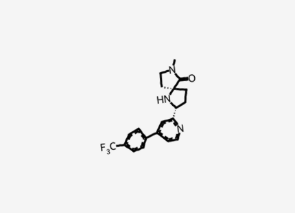 CN1CC[C@@]2(CC[C@H](c3cc(-c4ccc(C(F)(F)F)cc4)ccn3)N2)C1=O